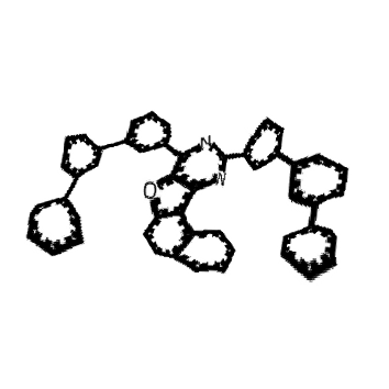 c1ccc(-c2cccc(-c3cccc(-c4nc(-c5cccc(-c6cccc(-c7ccccc7)c6)c5)c5oc6ccc7ccccc7c6c5n4)c3)c2)cc1